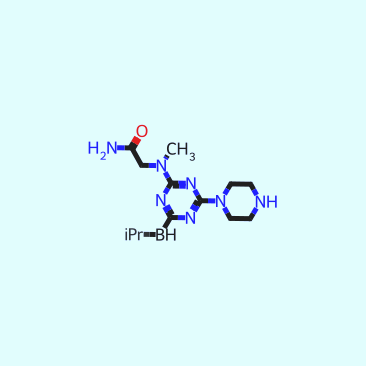 CC(C)Bc1nc(N(C)CC(N)=O)nc(N2CCNCC2)n1